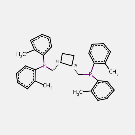 Cc1ccccc1P(C[C@H]1CC[C@H]1CP(c1ccccc1C)c1ccccc1C)c1ccccc1C